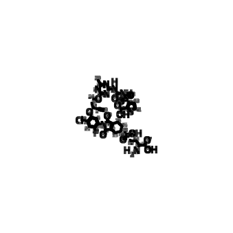 C#CC(C)Oc1cc(N2C(=O)C3=C(CCCC3)C2=O)c(F)cc1Cl.COc1nc(C)nc(NC(=O)NS(=O)(=O)c2ccsc2C(=O)O)n1.CP(=O)(O)CCC(N)C(=O)O